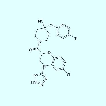 N#CC1(Cc2ccc(F)cc2)CCN(C(=O)C2CN(c3nn[nH]n3)c3cc(Cl)ccc3O2)CC1